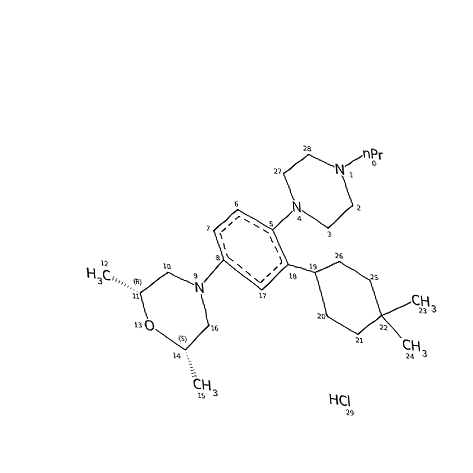 CCCN1CCN(c2ccc(N3C[C@@H](C)O[C@@H](C)C3)cc2C2CCC(C)(C)CC2)CC1.Cl